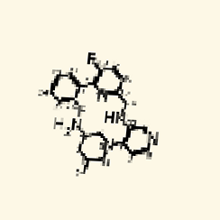 CC1CC(N)CN(c2ccncc2NCc2ccc(F)c(-c3ccccc3F)n2)C1